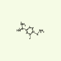 Cc1cc(C(=N)N)ccc1CN